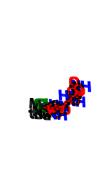 COc1cc(C(=O)NCCCCNCC(=O)Nc2cccc3c2C(=O)N([C@H]2CCCC(=O)NC2=O)C3=O)ccc1NC(=O)[C@@H]1N[C@@H](CC(C)(C)C)[C@](C#N)(c2ccc(Cl)cc2F)[C@H]1c1cccc(Cl)c1F